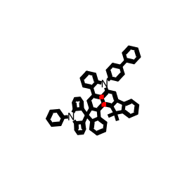 CC1(C)c2ccccc2-c2cc(N(c3ccc(-c4ccccc4)cc3)c3ccccc3-c3ccc4c(c3)C3(c5ccccc5-4)c4ccccc4N(c4ccccc4)c4ccccc43)ccc21